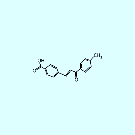 Cc1ccc(C(=O)C=Cc2ccc(C(=O)O)cc2)cc1